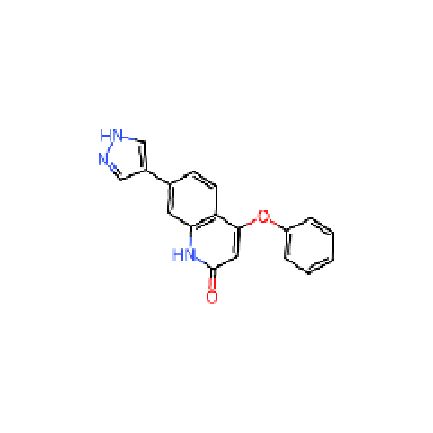 O=c1cc(Oc2ccccc2)c2ccc(-c3cn[nH]c3)cc2[nH]1